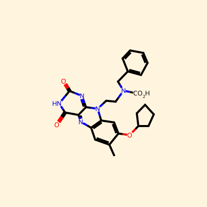 Cc1cc2nc3c(=O)[nH]c(=O)nc-3n(CCN(Cc3ccccc3)C(=O)O)c2cc1OC1CCCC1